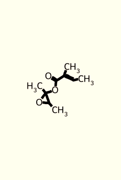 CC=C(C)C(=O)OC1(C)OC1C